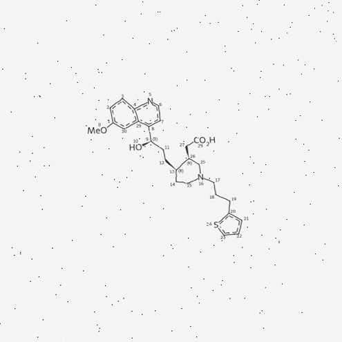 COc1ccc2nccc([C@H](O)CC[C@@H]3CCN(CCCc4cccs4)C[C@@H]3CC(=O)O)c2c1